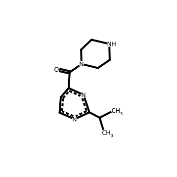 CC(C)c1nccc(C(=O)N2CCNCC2)n1